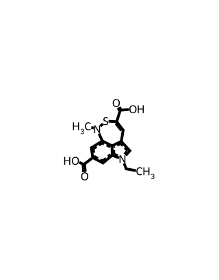 CCn1cc2c3c(cc(C(=O)O)cc31)N(C)SC(C(=O)O)=C2